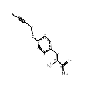 CC#CCOc1ccc(CC(N)C(N)=O)cc1